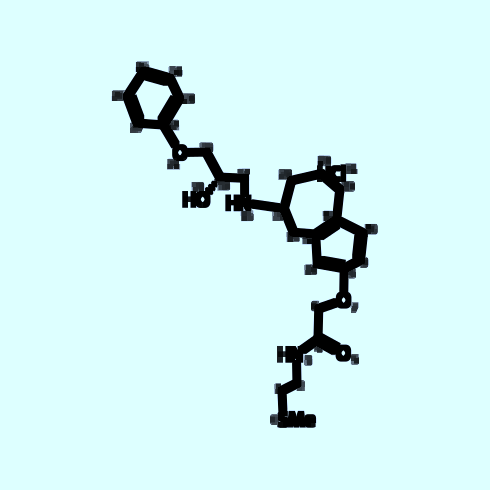 CSCCNC(=O)COc1ccc2c(c1)CC(NC[C@H](O)COc1ccccc1)CCC2.Cl